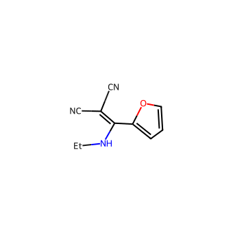 [CH2]CNC(=C(C#N)C#N)c1ccco1